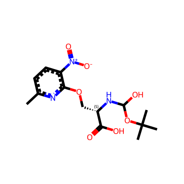 Cc1ccc([N+](=O)[O-])c(OC[C@H](NC(O)OC(C)(C)C)C(=O)O)n1